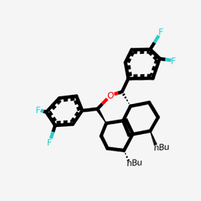 CCCC[C@H]1CC[C@H](C(OC(c2ccc(F)c(F)c2)[C@H]2CC[C@H](CCCC)CC2)c2ccc(F)c(F)c2)CC1